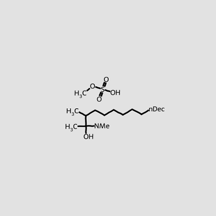 CCCCCCCCCCCCCCCCC(C)C(C)(O)NC.COS(=O)(=O)O